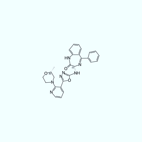 C[C@@H]1CN(c2ncccc2-c2nnc(N[C@H]3N=C(c4ccccc4)c4ccccc4NC3=O)o2)CCO1